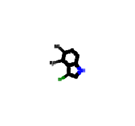 N#Cc1ccc2[nH]cc(Br)c2c1C(F)(F)F